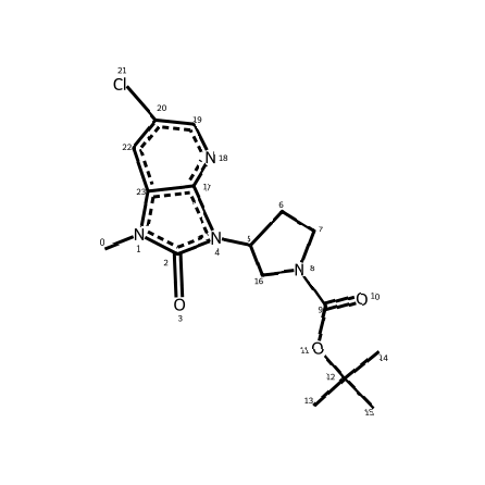 Cn1c(=O)n(C2CCN(C(=O)OC(C)(C)C)C2)c2ncc(Cl)cc21